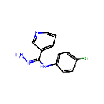 N/N=C(/Nc1ccc(Br)cc1)c1cccnc1